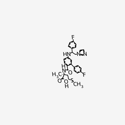 CSCC[C@](C)(NC(=O)c1ccc(NC(Cn2ccnc2)c2ccc(F)cc2)cc1-c1ccc(F)cc1)C(=O)O